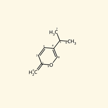 C=C1C=CC(C(C)C)=CO1